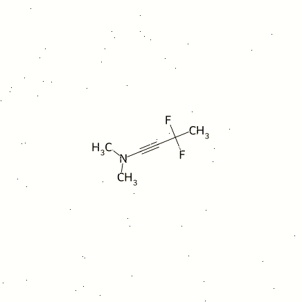 CN(C)C#CC(C)(F)F